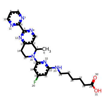 CC1c2cnc(-c3ncccn3)nc2CCN1c1cc(F)cc(NCCCCCC(=O)O)n1